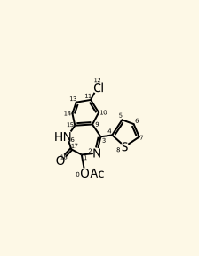 CC(=O)OC1N=C(c2cccs2)c2cc(Cl)ccc2NC1=O